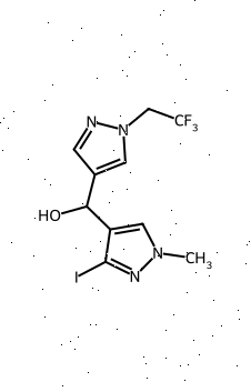 Cn1cc(C(O)c2cnn(CC(F)(F)F)c2)c(I)n1